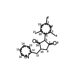 Cc1cc(C)c(C2C(=O)CC(Cc3ccccn3)C2=O)c(C)c1